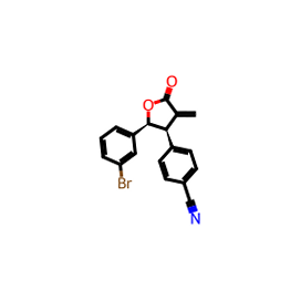 C=C1C(=O)O[C@H](c2cccc(Br)c2)[C@@H]1c1ccc(C#N)cc1